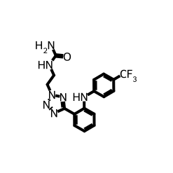 NC(=O)NCCn1nnc(-c2ccccc2Nc2ccc(C(F)(F)F)cc2)n1